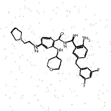 N=C(NC(=O)c1ccc(NCCN2CCCC2)cc1NC1CCOCC1)c1cc(Cc2cc(F)cc(F)c2)ccc1N